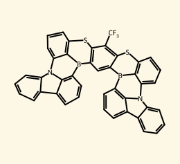 FC(F)(F)c1c2c(cc3c1Sc1cccc4c1B3c1cccc3c5ccccc5n-4c13)B1c3c(cccc3-n3c4ccccc4c4cccc1c43)S2